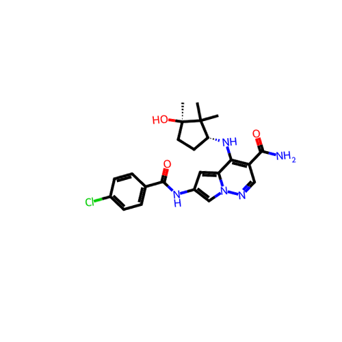 CC1(C)[C@H](Nc2c(C(N)=O)cnn3cc(NC(=O)c4ccc(Cl)cc4)cc23)CC[C@@]1(C)O